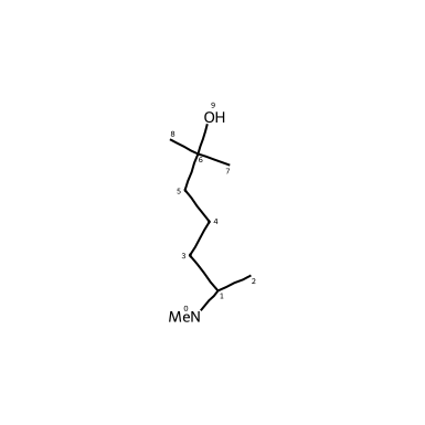 CNC(C)CCCC(C)(C)O